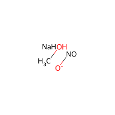 CO.O=[NH+][O-].[NaH]